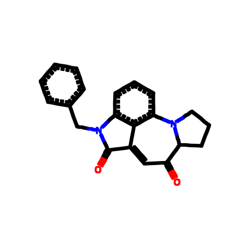 O=C1C=C2C(=O)N(Cc3ccccc3)c3cccc(c32)N2CCCC12